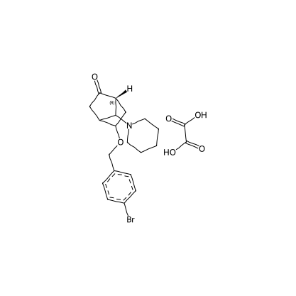 O=C(O)C(=O)O.O=C1CC2C(OCc3ccc(Br)cc3)C[C@@H]1C2N1CCCCC1